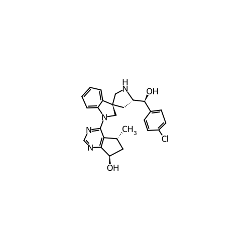 C[C@@H]1C[C@@H](O)c2ncnc(N3C[C@]4(CN[C@H]([C@@H](O)c5ccc(Cl)cc5)C4)c4ccccc43)c21